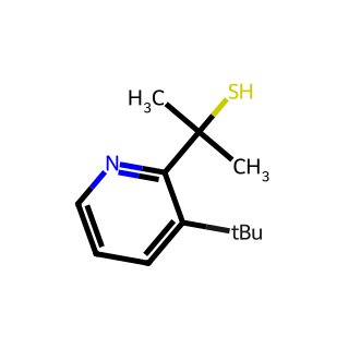 CC(C)(C)c1cccnc1C(C)(C)S